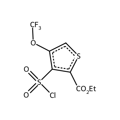 CCOC(=O)c1scc(OC(F)(F)F)c1S(=O)(=O)Cl